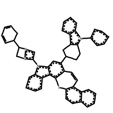 C1=CCC(C2Cn3c(-n4c5ccccc5c5c6c(c(C7CCc8c(c9ccccc9n8-c8ccccc8)C7)cc54)C=Cc4c(ccc5ccccc45)S6)cn32)C=C1